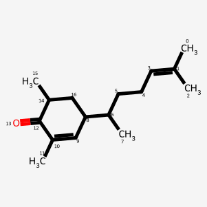 CC(C)=CCCC(C)C1C=C(C)C(=O)C(C)C1